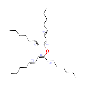 CCCC/C=C/C=C(\C=C\CCCCC)OC(/C=C/CCCCC)=C/C=C/CCCC